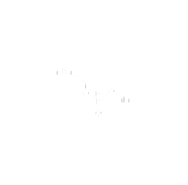 CCCCCO[PH](=O)OC(C)C